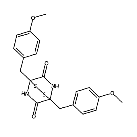 COc1ccc(CC23NC(=O)C(Cc4ccc(OC)cc4)(NC2=O)SS3)cc1